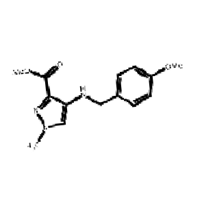 COC(=O)c1nn(C)cc1NCc1ccc(OC)cc1